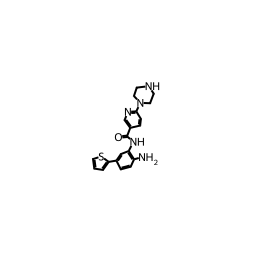 Nc1ccc(-c2cccs2)cc1NC(=O)c1ccc(N2CCNCC2)nc1